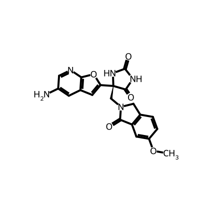 COc1ccc2c(c1)C(=O)N(C[C@@]1(c3cc4cc(N)cnc4o3)NC(=O)NC1=O)C2